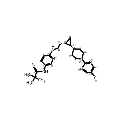 CC(C)(C)C(=O)Nc1ccc(NCC[C@@H]2C[C@@H]2C2CCN(c3ncc(Cl)cn3)CC2)nc1